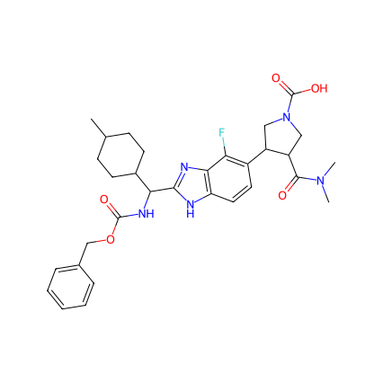 CC1CCC(C(NC(=O)OCc2ccccc2)c2nc3c(F)c(C4CN(C(=O)O)CC4C(=O)N(C)C)ccc3[nH]2)CC1